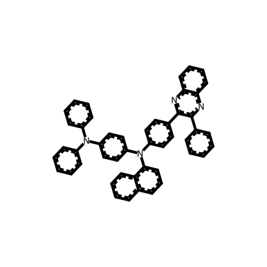 c1ccc(-c2nc3ccccc3nc2-c2ccc(N(c3ccc(N(c4ccccc4)c4ccccc4)cc3)c3cccc4ccccc34)cc2)cc1